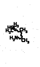 CC(C=CCC(C)CCCC(C)(C)O)=CCN